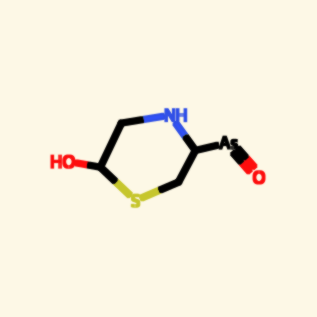 O=[As]C1CSC(O)CN1